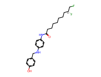 O=C(CCCCCCC[C@@H](F)CF)Nc1ccc(NCc2ccc(O)cc2)cc1